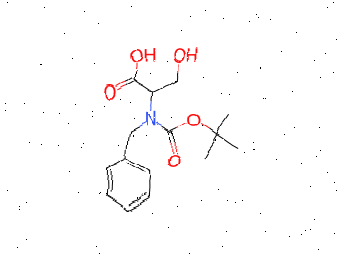 CC(C)(C)OC(=O)N(Cc1ccccc1)C(CO)C(=O)O